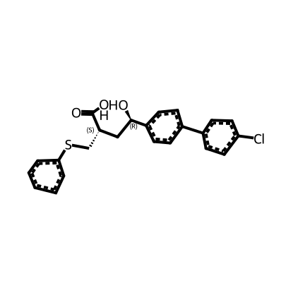 O=C(O)[C@@H](CSc1ccccc1)C[C@@H](O)c1ccc(-c2ccc(Cl)cc2)cc1